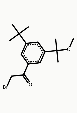 COC(C)(C)c1cc(C(=O)CBr)cc(C(C)(C)C)c1